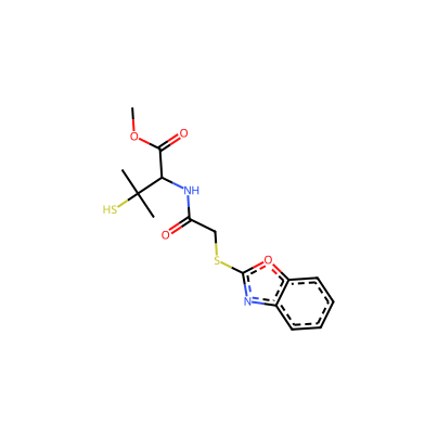 COC(=O)C(NC(=O)CSc1nc2ccccc2o1)C(C)(C)S